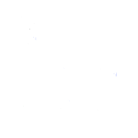 Cl.[2H]C([2H])([2H])NC(=O)c1cc2c(cc1F)/C(=C/c1[nH]c(C)cc1C)C(=O)N2CC1CCC(N)CC1